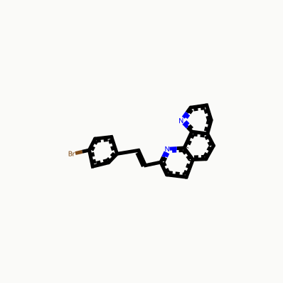 Brc1ccc(C=Cc2ccc3ccc4cccnc4c3n2)cc1